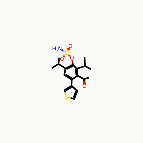 CC(=O)c1c(-c2ccsc2)cc(C(C)C)c(OS(N)(=O)=O)c1C(C)C